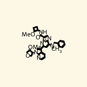 CO[C@H]1CCC1NC(=O)c1cnc2c(N(C)Cc3ccccc3)cc(-c3cn([C@H]4COC[C@@H]4OC)c4ncccc34)nn12